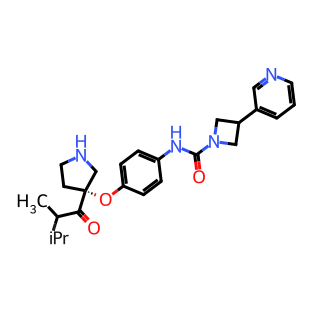 CC(C)C(C)C(=O)[C@@]1(Oc2ccc(NC(=O)N3CC(c4cccnc4)C3)cc2)CCNC1